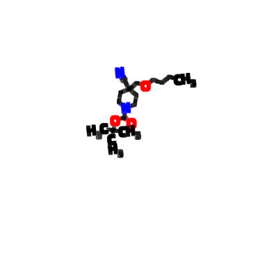 CCCCOCC1(C#N)CCN(C(=O)OC(C)(C)C)CC1